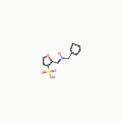 O=S(=O)(O)c1ccoc1C=[N+]([O-])Cc1ccccc1